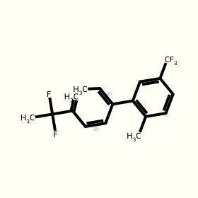 C=C(/C=C\C(=C/C)c1cc(C(F)(F)F)ccc1C)C(C)(F)F